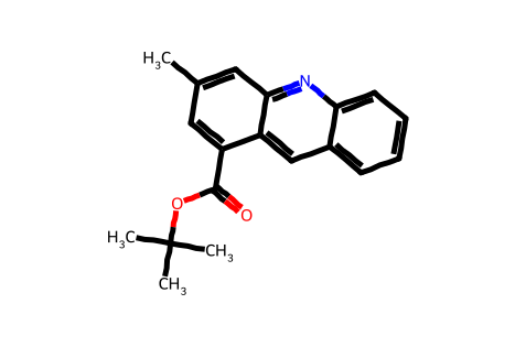 Cc1cc(C(=O)OC(C)(C)C)c2cc3ccccc3nc2c1